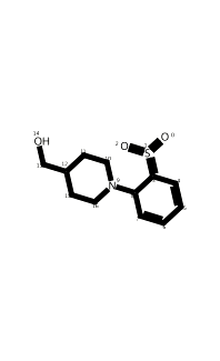 O=S(=O)=C1C=CC=CC1N1CCC(CO)CC1